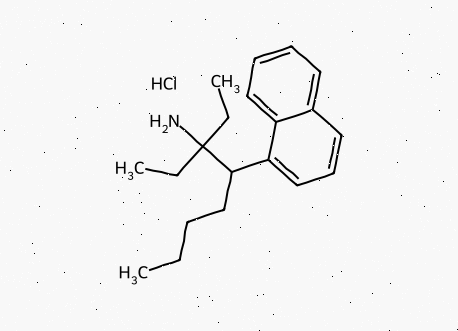 CCCCC(c1cccc2ccccc12)C(N)(CC)CC.Cl